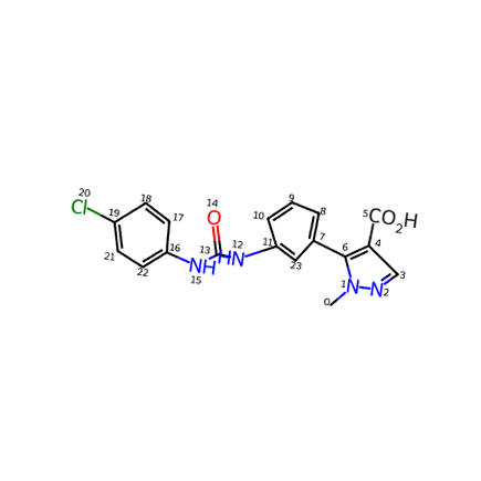 Cn1ncc(C(=O)O)c1-c1cccc(NC(=O)Nc2ccc(Cl)cc2)c1